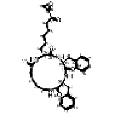 O=C1CCCCNC(=O)[C@H](Cc2ccccc2)NC(=O)[C@H](Cc2ccccc2)NC(=O)[C@H](CCCCCC(=O)[C@H]2CO2)N1